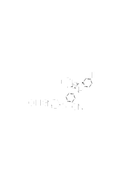 CCCS(=O)(=O)N(Cc1ccc(F)cc1)c1ccc(SC2CCN(C=O)CC2)c(C#N)c1